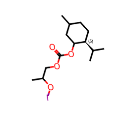 CC1CC[C@@H](C(C)C)C(OC(=O)OCC(C)OI)C1